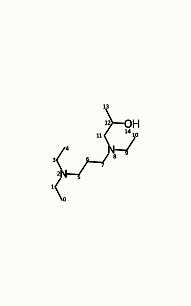 CCN(CC)CCCN(CC)CC(C)O